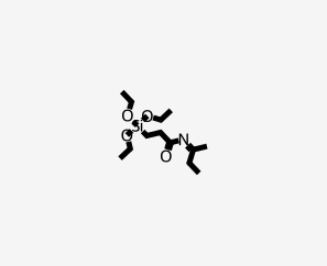 CCO[Si](CCC(=O)N=C(C)CC)(OCC)OCC